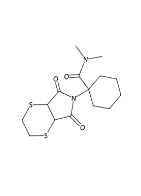 CN(C)C(=O)C1(N2C(=O)C3SCCSC3C2=O)CCCCC1